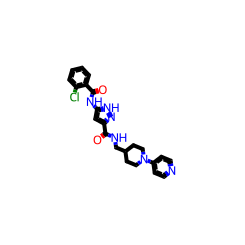 O=C(NCC1CCN(c2ccncc2)CC1)c1cc(NC(=O)c2ccccc2Cl)[nH]n1